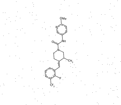 COc1ccc(NC(=O)N2CCC(=Cc3cccc(C(F)(F)F)c3F)C(C)C2)cn1